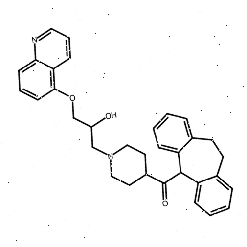 O=C(C1CCN(CC(O)COc2cccc3ncccc23)CC1)C1c2ccccc2CCc2ccccc21